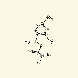 CCN(CC)C(=O)OC(C)c1ccc([N+](=O)[O-])cc1N=O